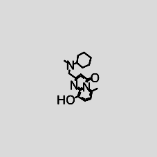 Cc1ccc(O)c2nc(CN(C)C3CCCCC3)cc(=O)n12